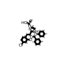 Clc1ccc(CC(OC(Oc2ccccc2)c2ccccc2)c2ncc[nH]2)c(Cl)c1.O=[N+]([O-])O